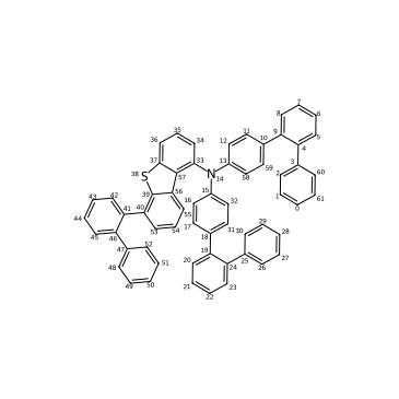 c1ccc(-c2ccccc2-c2ccc(N(c3ccc(-c4ccccc4-c4ccccc4)cc3)c3cccc4sc5c(-c6ccccc6-c6ccccc6)cccc5c34)cc2)cc1